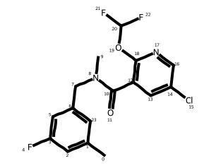 Cc1cc(F)cc(CN(C)C(=O)c2cc(Cl)cnc2OC(F)F)c1